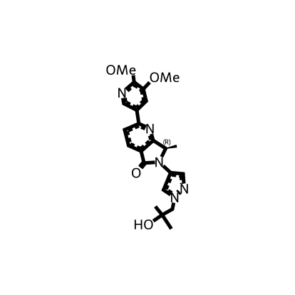 COc1cc(-c2ccc3c(n2)[C@@H](C)N(c2cnn(CC(C)(C)O)c2)C3=O)cnc1OC